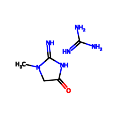 CN1CC(=O)NC1=N.N=C(N)N